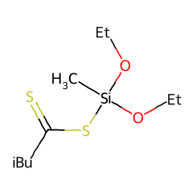 CCO[Si](C)(OCC)SC(=S)C(C)CC